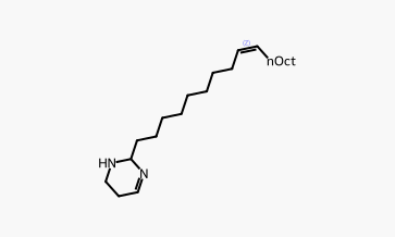 CCCCCCCC/C=C\CCCCCCCCC1N=CCCN1